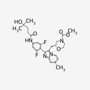 COC(=O)N1CCO[C@@H](Cc2c(-c3c(F)cc(NC(=O)CCC(C)(C)O)cc3F)nc3cc(C)ccn23)C1